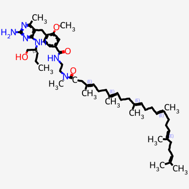 CCC[C@@H](CO)Nc1nc(N)nc(C)c1Cc1ccc(C(=O)NCCN(C)C(=O)CC/C(C)=C/CC/C(C)=C/CC/C(C)=C/CC/C=C(\C)CC/C=C(\C)CCC=C(C)C)cc1OC